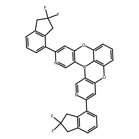 FC1(F)Cc2cccc(-c3cc4c(cn3)B3c5cnc(-c6cccc7c6CC(F)(F)C7)cc5Oc5cccc(c53)O4)c2C1